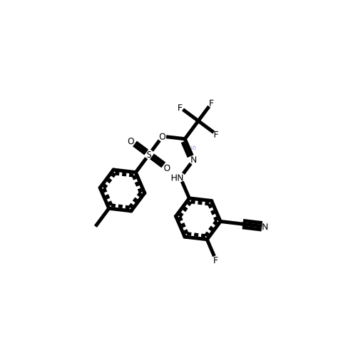 Cc1ccc(S(=O)(=O)O/C(=N\Nc2ccc(F)c(C#N)c2)C(F)(F)F)cc1